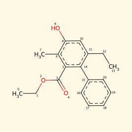 CCOC(=O)c1c(C)c(O)cc(CC)c1-c1ccccc1